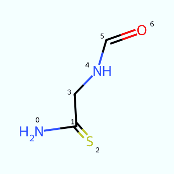 NC(=S)CNC=O